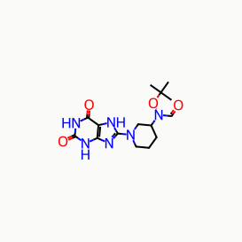 CC(C)(C)ON(C=O)C1CCCN(c2nc3[nH]c(=O)[nH]c(=O)c3[nH]2)C1